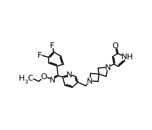 CCON=C(c1ccc(F)c(F)c1)c1ccc(CN2CC3(C2)CN(c2cc[nH]c(=O)c2)C3)cn1